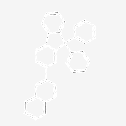 [c]1ccc2ccc(-c3ccc4c(c3)C(c3ccccc3)(c3ccccc3)c3ccccc3-4)cc2c1